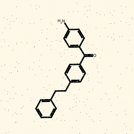 Nc1ccc(C(=O)c2ccc(CCc3ccccc3)cc2)cc1